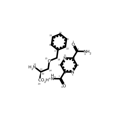 NC(=O)c1cnc(C(N)=O)cn1.N[C@@H](COCc1ccccc1)C(=O)O